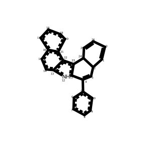 C1=CC2C=C(c3ccccc3)c3[nH]c4ccc5ccccc5c4c3C2C=C1